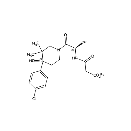 CCOC(=O)CC(=O)N[C@@H](C(=O)N1CC[C@](O)(c2ccc(Cl)cc2)C(C)(C)C1)C(C)C